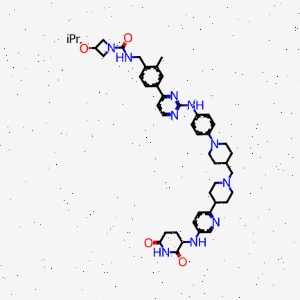 Cc1cc(-c2ccnc(Nc3ccc(N4CCC(CN5CCC(c6ccc(NC7CCC(=O)NC7=O)cn6)CC5)CC4)cc3)n2)ccc1CNC(=O)N1CC(OC(C)C)C1